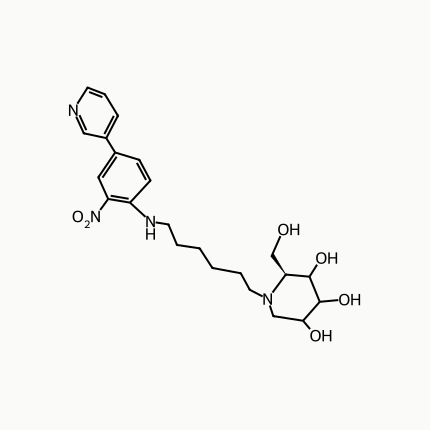 O=[N+]([O-])c1cc(-c2cccnc2)ccc1NCCCCCCN1CC(O)C(O)C(O)[C@@H]1CO